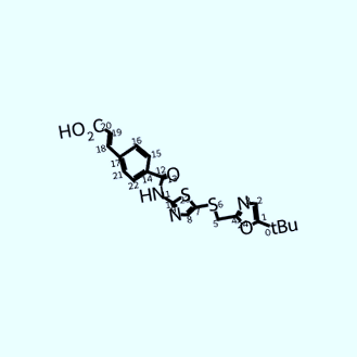 CC(C)(C)c1cnc(CSc2cnc(NC(=O)c3ccc(C=CC(=O)O)cc3)s2)o1